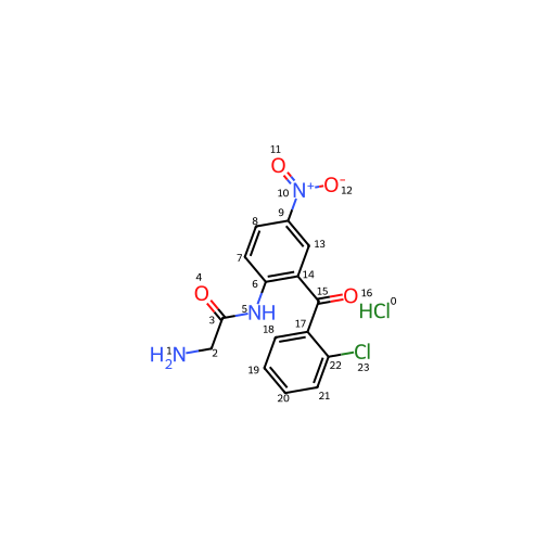 Cl.NCC(=O)Nc1ccc([N+](=O)[O-])cc1C(=O)c1ccccc1Cl